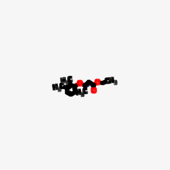 CCOC(=O)/C=C(\C)Oc1cccc(C)c1C